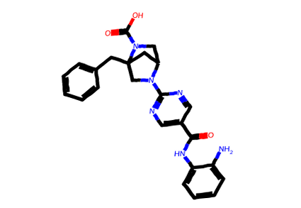 Nc1ccccc1NC(=O)c1cnc(N2CC3(Cc4ccccc4)CC2CN3C(=O)O)nc1